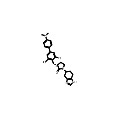 CN(C)c1ccc(-c2cc(Cl)c(C[C@@H]3CCN(C4CCc5[nH]cnc5C4)C3=O)c(Cl)c2)cc1